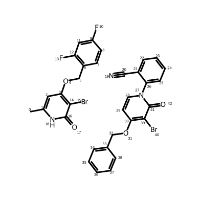 Cc1cc(OCc2ccc(F)cc2F)c(Br)c(=O)[nH]1.N#Cc1ccccc1-n1ccc(OCc2ccccc2)c(Br)c1=O